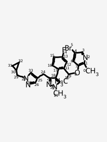 Cc1ncc(Br)cc1O[C@@H](C)c1cc(F)ccc1-c1cn(C)nc1Cc1cnn(CC2CC2)c1